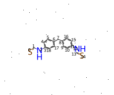 S=CNc1ccc(Cc2ccc(NC=S)cc2)cc1